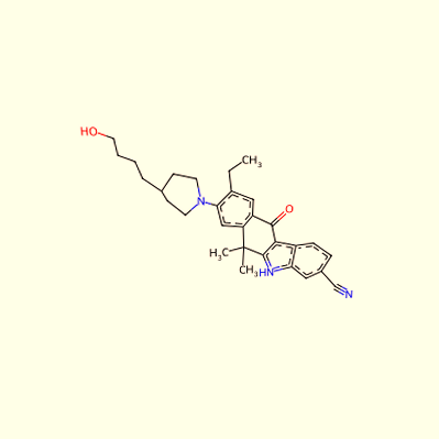 CCc1cc2c(cc1N1CCC(CCCCO)CC1)C(C)(C)c1[nH]c3cc(C#N)ccc3c1C2=O